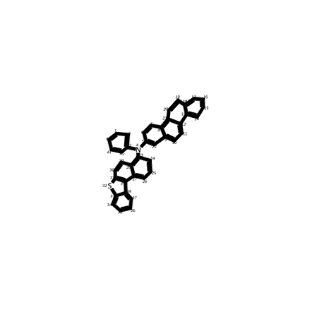 c1ccc(N(c2ccc3c(ccc4c5ccccc5ccc34)c2)c2cccc3c2ccc2sc4ccccc4c23)cc1